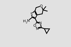 CC1(C)Cc2c(sc(N)c2-c2nc(C3CC3)no2)CO1